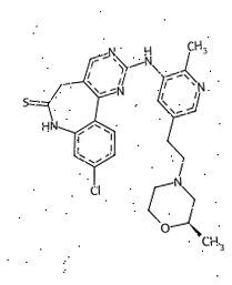 Cc1ncc(CCN2CCO[C@H](C)C2)cc1Nc1ncc2c(n1)-c1ccc(Cl)cc1NC(=S)C2